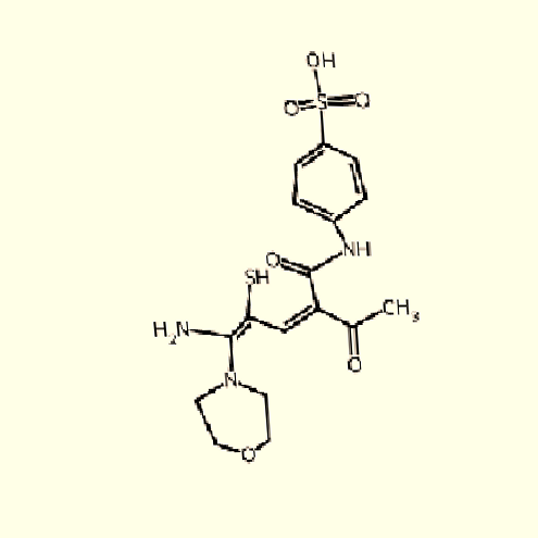 CC(=O)/C(=C/C(S)=C(/N)N1CCOCC1)C(=O)Nc1ccc(S(=O)(=O)O)cc1